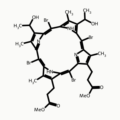 COC(=O)CCC1=C(C)c2nc1c(Br)c1[nH]c(c(C)c1CCC(=O)OC)c(Br)c1nc(c(Br)c3[nH]c(c2Br)c(C(C)O)c3C)C(C(C)O)=C1C